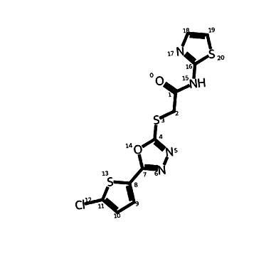 O=C(CSc1nnc(-c2ccc(Cl)s2)o1)Nc1nccs1